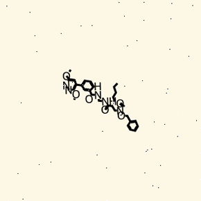 CCCCC[C@H](CN(C=O)OCc1ccccc1)C(=O)NCNC(=O)c1cccc(-c2cc(OC)nnc2OC)c1